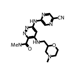 CNC(=O)c1nnc(Nc2cnc(C#N)cn2)cc1NCC1CN(C)CCO1